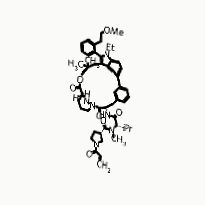 C=CC(=O)N1CC[C@H](C(=O)N(C)[C@H](C(=O)N[C@H]2Cc3cccc(c3)-c3ccc4c(c3)c(c(-c3ccccc3CCOC)n4CC)CC(C)(C)COC(=O)[C@@H]3CCCN(N3)C2=O)C(C)C)C1